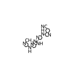 Cc1cc(Nc2ccc3[nH]c(-c4ccc(Nc5ccnc6ccc(C#N)cc56)cn4)nc3n2)ccn1